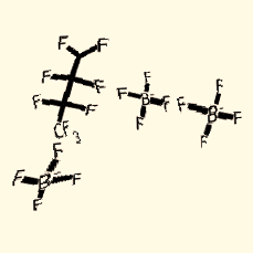 FC(F)C(F)(F)C(F)(F)C(F)(F)F.F[B-](F)(F)F.F[B-](F)(F)F.F[B-](F)(F)F